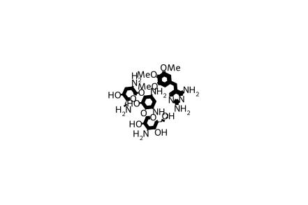 COc1cc(Cc2cnc(N)nc2N)cc(OC)c1OC.NC[C@H]1O[C@H](O[C@H]2[C@H](O)[C@@H](O[C@H]3O[C@H](CO)[C@@H](O)[C@H](N)[C@H]3O)[C@H](N)C[C@@H]2N)[C@H](N)C[C@@H]1O